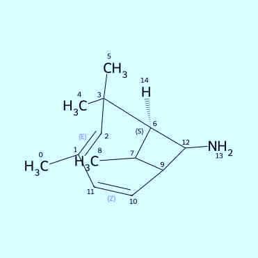 CC1=C\C(C)(C)[C@@H]2C(C)C(/C=C\1)C2N